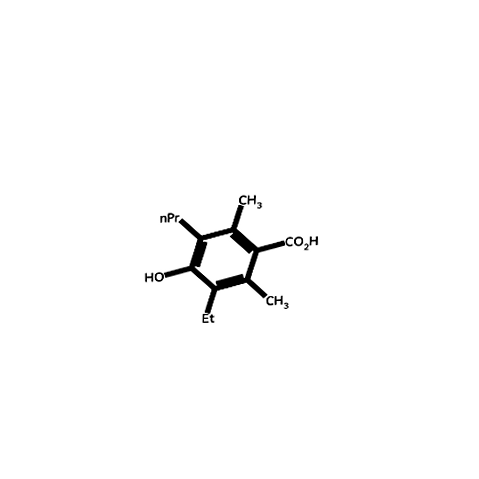 CCCc1c(C)c(C(=O)O)c(C)c(CC)c1O